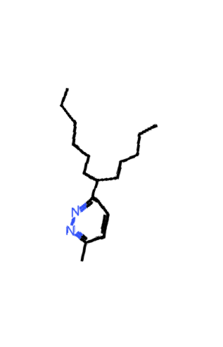 CCCCCCC(CCCCC)c1ccc(C)nn1